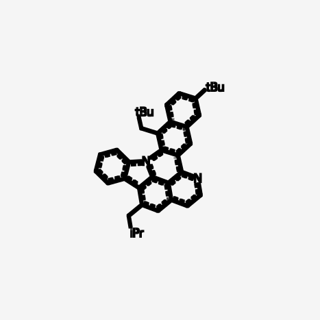 CC(C)Cc1cc2ccnc3c4cc5cc(C(C)(C)C)ccc5c(CC(C)(C)C)c4n4c5ccccc5c1c4c23